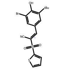 CC(C)(C)c1cc(/C=C(\C#N)S(=O)(=O)c2cccs2)cc(Br)c1O